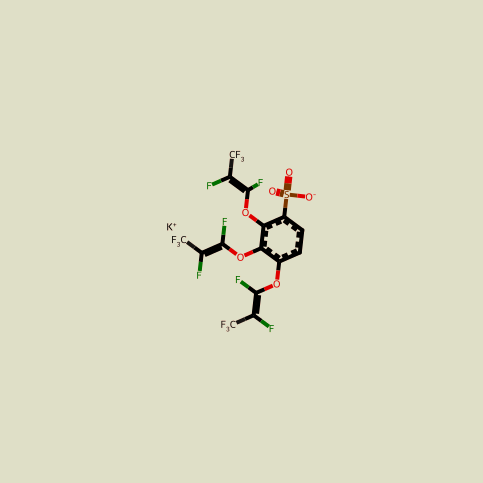 O=S(=O)([O-])c1ccc(OC(F)=C(F)C(F)(F)F)c(OC(F)=C(F)C(F)(F)F)c1OC(F)=C(F)C(F)(F)F.[K+]